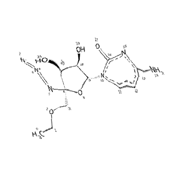 CCOC[C@@]1(N=[N+]=[N-])O[C@@H](n2ccc(N)nc2=O)[C@H](O)[C@@H]1O